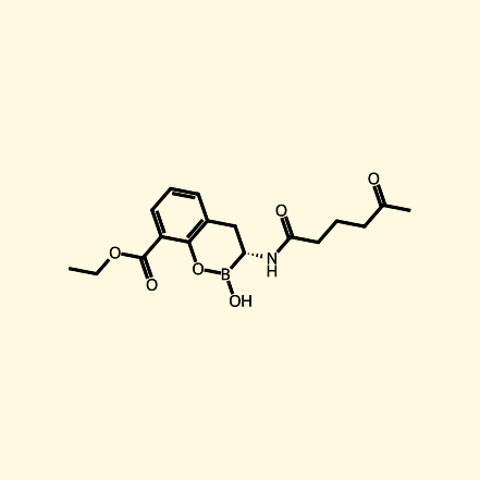 CCOC(=O)c1cccc2c1OB(O)[C@@H](NC(=O)CCCC(C)=O)C2